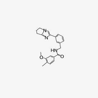 COc1cc(C(=O)NCc2cccc(-c3cn4c(n3)CCC4)c2)ccc1C